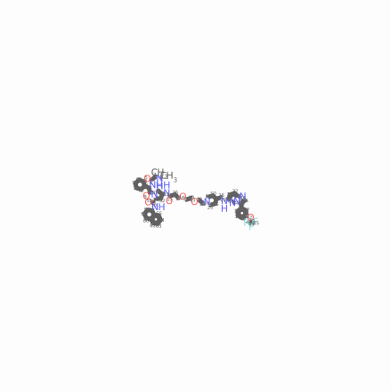 CN[C@@H](C)C(=O)N[C@H](C(=O)N1C[C@@H](NC(=O)CCOCCOCCN2CCC(CNc3ccc4ncc(-c5cccc(OC(F)(F)F)c5)n4n3)CC2)C[C@H]1C(=O)N[C@@H]1CCCc2ccccc21)C1CCCCC1